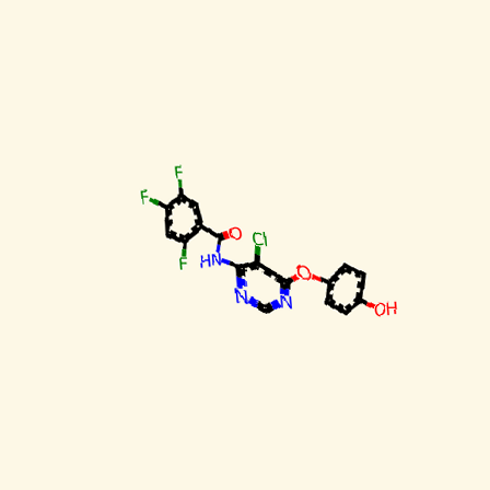 O=C(Nc1ncnc(Oc2ccc(O)cc2)c1Cl)c1cc(F)c(F)cc1F